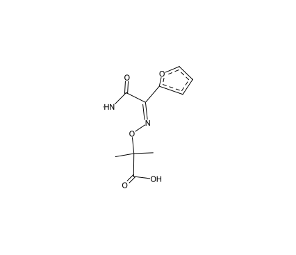 CC(C)(ON=C(C([NH])=O)c1ccco1)C(=O)O